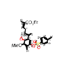 CCCCOc1c(C(C)CC/C=C(/C)C(=O)OCC)cc(OS(=O)(=O)c2ccc(C)cc2)c(C)c1OC